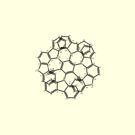 N#Cc1c(-n2c3ccccc3c3ccccc32)c(C#N)c(-n2c3ccccc3c3ccc4sc5ccccc5c4c32)c(-n2c3c(c4ccccc42)CCC=C3)c1-n1c2ccccc2c2ccc3sc4ccccc4c3c21